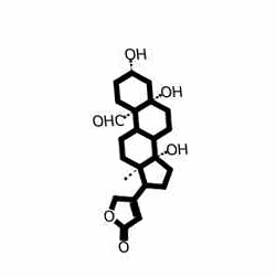 C[C@]12CCC3C(CC[C@]4(O)C[C@@H](O)CC[C@]34C=O)[C@@]1(O)CCC2C1=CC(=O)OC1